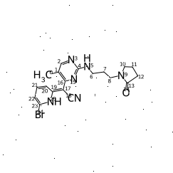 Cc1cnc(NCCCN2CCCC2=O)nc1C(C#N)=C1C=CC=C(Br)N1